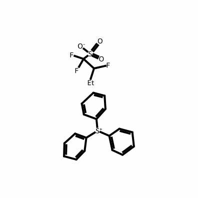 CCC(F)C(F)(F)S(=O)(=O)[O-].c1ccc([S+](c2ccccc2)c2ccccc2)cc1